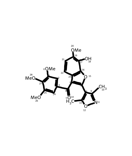 COc1cc(C(=O)c2c(-c3c(C)noc3C)oc3c(O)c(OC)ccc23)cc(OC)c1OC